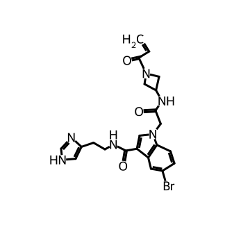 C=CC(=O)N1CC(NC(=O)Cn2cc(C(=O)NCCc3c[nH]cn3)c3cc(Br)ccc32)C1